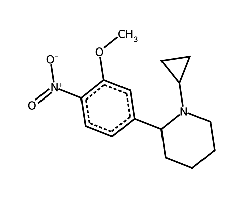 COc1cc(C2CCCCN2C2CC2)ccc1[N+](=O)[O-]